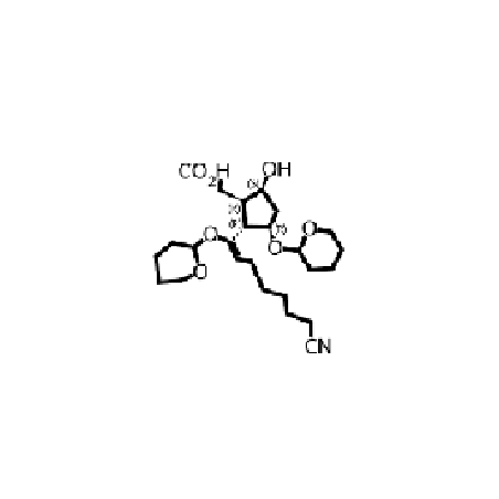 N#CCCCCCC=C(OC1CCCCO1)[C@@H]1[C@@H](CC(=O)O)[C@@H](O)C[C@H]1OC1CCCCO1